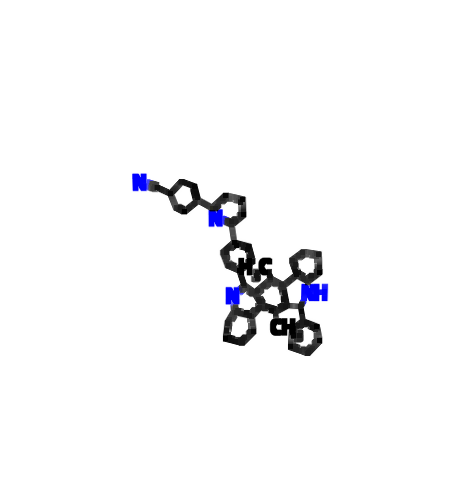 Cc1c2c(c(C)c3c1c(-c1ccc(-c4cccc(C5=CCC(C#N)C=C5)n4)cc1)nc1ccccc13)C(c1ccccc1)Nc1ccccc1-2